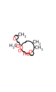 C=C1CC/C=C/CC(C(C=CC2CC(C)=CCO2)OC)OC(=O)/C=C/CC2(O)C=CCC(CC(C)C1)O2